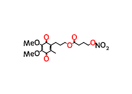 COC1=C(OC)C(=O)C(CCCOC(=O)CCCO[N+](=O)[O-])=C(C)C1=O